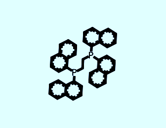 c1ccc2c(P(CCP(c3cccc4ccccc34)c3cccc4ccccc34)c3cccc4ccccc34)cccc2c1